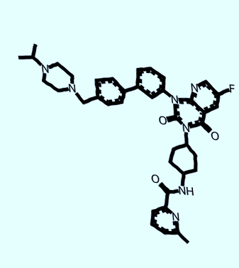 Cc1cccc(C(=O)NC2CCC(n3c(=O)c4cc(F)cnc4n(-c4cccc(-c5ccc(CN6CCN(C(C)C)CC6)cc5)c4)c3=O)CC2)n1